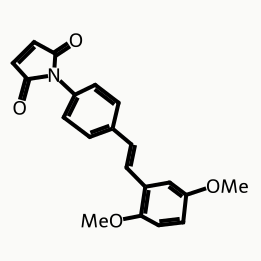 COc1ccc(OC)c(C=Cc2ccc(N3C(=O)C=CC3=O)cc2)c1